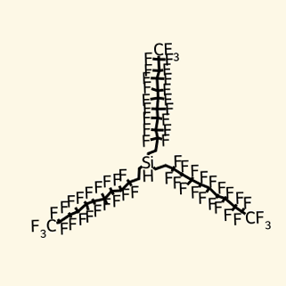 FC(F)(F)C(F)(F)C(F)(F)C(F)(F)C(F)(F)C(F)(F)C(F)(F)C(F)(F)C(F)(F)C(F)(F)CC[SiH](CCC(F)(F)C(F)(F)C(F)(F)C(F)(F)C(F)(F)C(F)(F)C(F)(F)C(F)(F)C(F)(F)C(F)(F)F)CCC(F)(F)C(F)(F)C(F)(F)C(F)(F)C(F)(F)C(F)(F)C(F)(F)C(F)(F)C(F)(F)C(F)(F)F